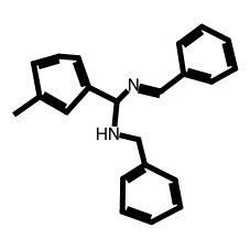 Cc1cccc(C(/N=C/c2ccccc2)NCc2ccccc2)c1